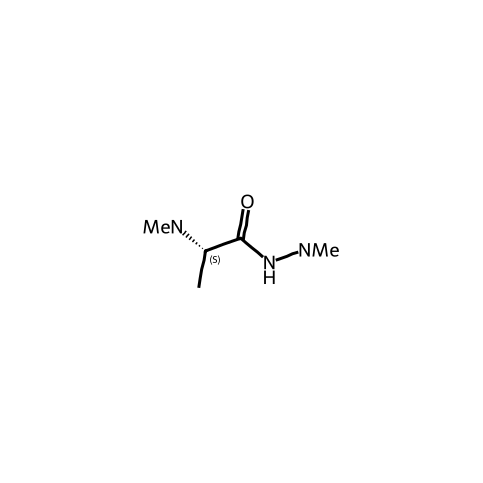 CNNC(=O)[C@H](C)NC